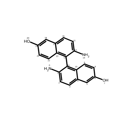 Nc1ccc2cc(O)ccc2c1-c1c(N)ccc2cc(O)ccc12